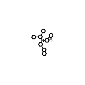 c1ccc(-c2cc(-c3ccccc3)cc(N(c3cccc(-c4ccc5ccccc5c4)c3)c3ccc4sc5ccccc5c4c3)c2)cc1